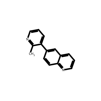 Cc1ncccc1-c1ccc2ncccc2c1